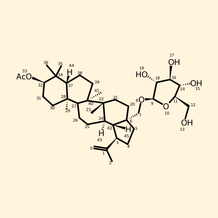 C=C(C)[C@@H]1CC[C@]2(CO[C@@H]3O[C@H](CO)[C@@H](O)[C@H](O)[C@H]3O)CC[C@]3(C)[C@H](CCC4[C@@]5(C)CC[C@@H](OC(C)=O)C(C)(C)[C@@H]5CC[C@]43C)[C@@H]12